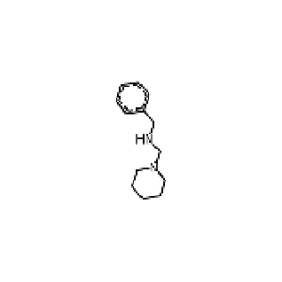 c1ccc(CNCN2CCCCC2)cc1